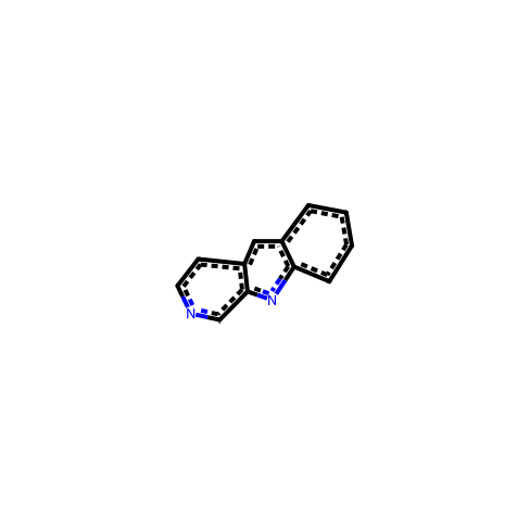 [c]1nccc2cc3ccccc3nc12